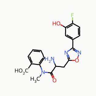 CN(C(=O)C(N)Cc1nc(-c2ccc(F)c(O)c2)no1)c1ccccc1C(=O)O